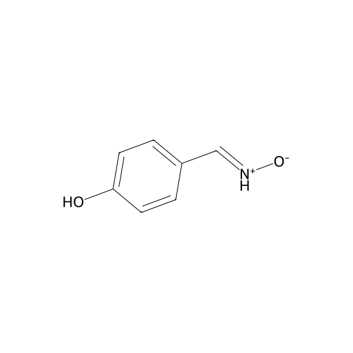 [O-][NH+]=Cc1ccc(O)cc1